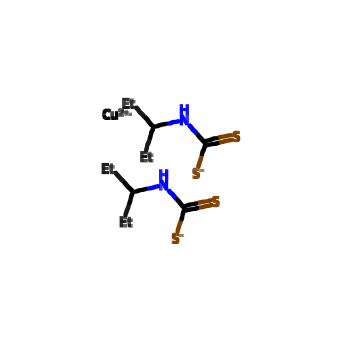 CCC(CC)NC(=S)[S-].CCC(CC)NC(=S)[S-].[Cu+2]